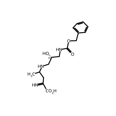 CC(CC(=N)C(=O)O)NC[C@H](O)CNC(=O)OCc1ccccc1